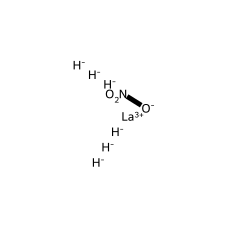 O=[N+]([O-])[O-].[H-].[H-].[H-].[H-].[H-].[H-].[La+3]